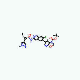 CC[C@H]1C(c2cnn(C)c2)[C@H]1C(=O)Nc1cc2cc(-c3cnc4c(c3C)N(C(=O)OC(C)(C)C)CCO4)c(F)cc2cn1